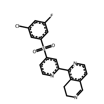 O=S(=O)(c1cc(F)cc(Cl)c1)c1ccnc(-c2nccc3c2CCN=C3)c1